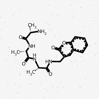 C[C@H](N)C(=O)N[C@@H](C)C(=O)N[C@@H](C)C(=O)NCc1cc2ccccc2oc1=O